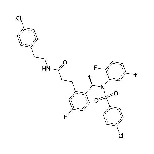 C[C@H](c1ccc(F)cc1CCC(=O)NCCc1ccc(Cl)cc1)N(c1cc(F)ccc1F)S(=O)(=O)c1ccc(Cl)cc1